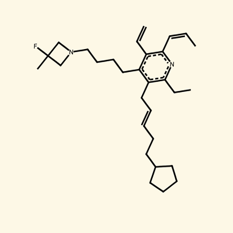 C=Cc1c(/C=C\C)nc(CC)c(C/C=C/CCC2CCCC2)c1CCCCN1CC(C)(F)C1